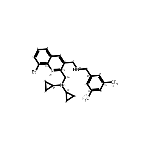 CCc1cccc2cc(CNCc3cc(C(F)(F)F)cc(C(F)(F)F)c3)c(CN(C3CC3)C3CC3)nc12